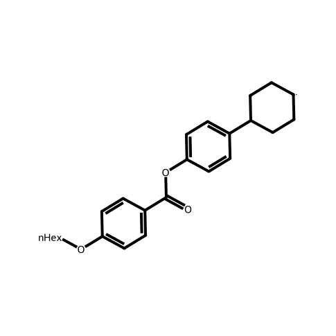 CCCCCCOc1ccc(C(=O)Oc2ccc(C3CC[CH]CC3)cc2)cc1